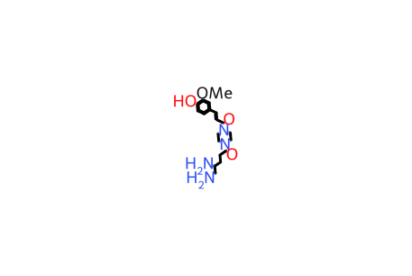 COc1cc(/C=C/C(=O)N2CCN(C(=O)CCC(N)CN)CC2)ccc1O